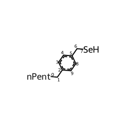 CCCCCCc1ccc(C[SeH])cc1